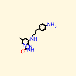 Cc1cc(NCCCc2ccc(N)cc2)c2n[nH]c(=O)n2c1